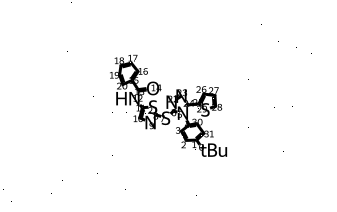 CC(C)(C)c1ccc(-n2c(Sc3ncc(NC(=O)c4ccccc4)s3)nnc2-c2cccs2)cc1